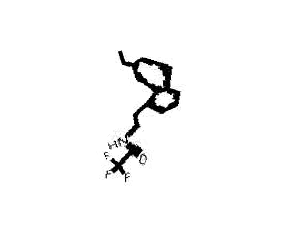 CCc1ccc2cccc(CCNC(=O)C(F)(F)F)c2c1